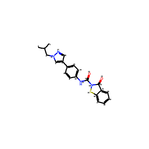 CC(C)Cn1cc(-c2ccc(NC(=O)n3sc4ccccc4c3=O)cc2)cn1